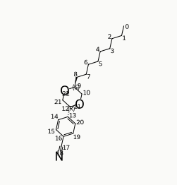 CCCCCCCCC[C@H]1CO[C@H](c2ccc(C#N)cc2)CO1